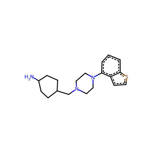 NC1CCC(CN2CCN(c3cccc4sccc34)CC2)CC1